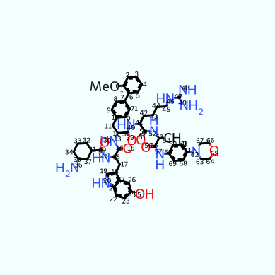 COc1ccccc1-c1ccc(CC(NC(=O)C(Cc2c[nH]c3ccc(O)cc23)NC(=O)C2CCCC(N)C2)C(=O)NC(CCCCNC(=N)N)C(=O)NC(C)C(=O)Nc2ccc(N3CCOCC3)cc2)cc1